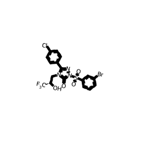 O=c1n(S(=O)(=O)c2cccc(Br)c2)nc(-c2ccc(Cl)cc2)n1C[C@H](O)C(F)(F)F